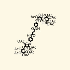 CC(=O)OC[C@H]1O[C@@H](Sc2ccc(NC(=O)CCC(=O)Nc3ccc(S[C@@H]4O[C@H](COC(C)=O)[C@@H](O[C@@H]5O[C@H](COC(C)=O)[C@@H](OC(C)=O)[C@H](OC(C)=O)[C@H]5OC(C)=O)[C@H](OC(C)=O)[C@H]4OC(C)=O)cc3)cc2)[C@H](OC(C)=O)[C@@H](OC(C)=O)[C@@H]1O[C@@H]1O[C@H](COC(C)=O)[C@@H](OC(C)=O)[C@H](OC(C)=O)[C@H]1OC(C)=O